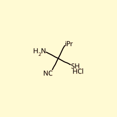 CC(C)C(N)(S)C#N.Cl